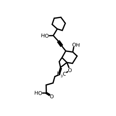 COC12CCC(O)C(C#CC(O)C3CCCCC3)C1CC2=CCCCC(=O)O